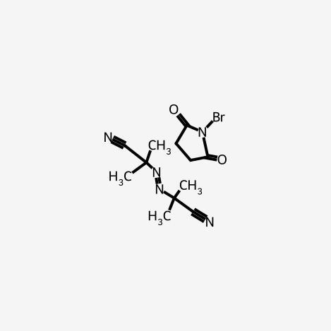 CC(C)(C#N)/N=N/C(C)(C)C#N.O=C1CCC(=O)N1Br